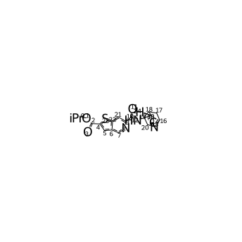 CC(C)OC(=O)c1cc2cnc(C(=O)N[C@H]3CN4CCC3CC4)cc2s1